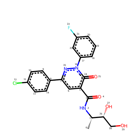 C[C@H](NC(=O)c1cc(-c2ccc(Cl)cc2)nn(-c2cccc(F)c2)c1=O)[C@H](O)CO